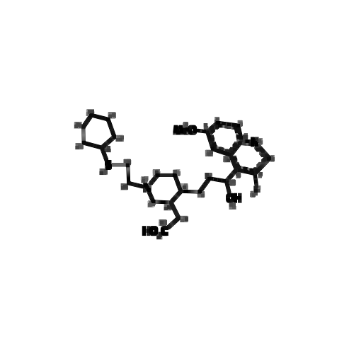 COc1ccc2ncc(F)c(C(O)CCC3CCN(CCSC4CCCCC4)CC3CC(=O)O)c2c1